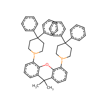 CC1(C)c2cccc(P3CCC(c4ccccc4)(c4ccccc4)CC3)c2Oc2c(P3CCC(c4ccccc4)(c4ccccc4)CC3)cccc21